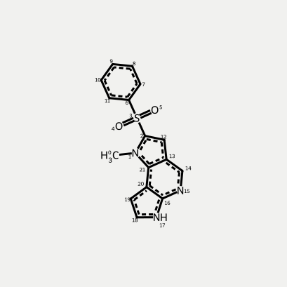 Cn1c(S(=O)(=O)c2ccccc2)cc2cnc3[nH]ccc3c21